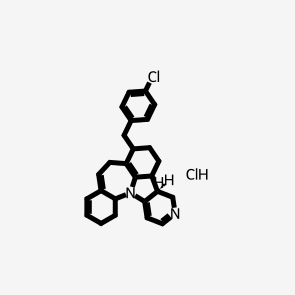 Cl.Clc1ccc(CC2CC[C@H]3C4=C2CC=C2C=CCCC2N4C2=CC=NC[C@@H]23)cc1